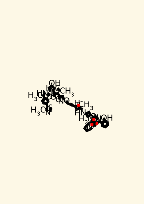 Cc1ncsc1-c1ccc([C@H](C)NC(=O)[C@@H]2C[C@@H](O)CN2C(=O)[C@@H](c2cc(OCC#CC34CC(CN[C@H]5C[C@H](Oc6cc(N7C8CCC7CN(c7cc(-c9ccccc9O)nnc7N)C8)ccn6)C5)(C3)[C@@H]4C)no2)C(C)C)cc1